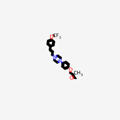 C[C@]1(COc2ccc(N3CCN(CC=Cc4ccc(OC(F)(F)F)cc4)CC3)cc2)CO1